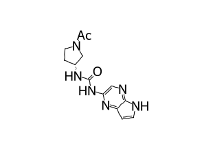 CC(=O)N1CC[C@@H](NC(=O)Nc2cnc3[nH]ccc3n2)C1